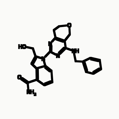 NC(=O)c1cccc2c1cc(CO)n2-c1nc2c(c(NCc3ccccc3)n1)COCC2